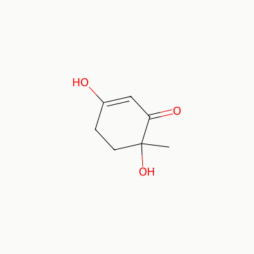 CC1(O)CCC(O)=CC1=O